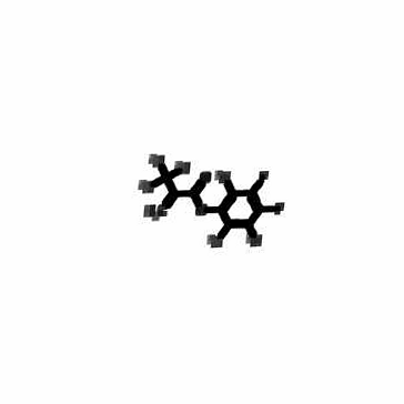 [2H]c1c([2H])c(OC(=O)C(=C)C([2H])([2H])[2H])c([2H])c(F)c1F